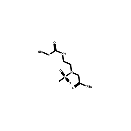 CC(C)COC(=O)CN(CCNC(=O)OC(C)(C)C)S(C)(=O)=O